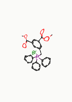 COC(=O)c1cc(CP(Br)(c2ccccc2)(c2ccccc2)c2ccccc2)cc(C(=O)OC)c1